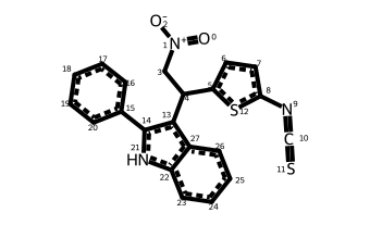 O=[N+]([O-])CC(c1ccc(N=C=S)s1)c1c(-c2ccccc2)[nH]c2ccccc12